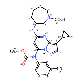 CC(C)(C)OC(=O)N(c1cccc(C#N)c1)c1cc(NC2CCCCN(C(=O)O)C2)nc2c(C3CC3)cnn12